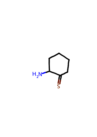 NC1CCCCC1=S